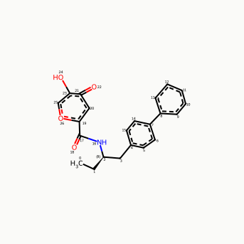 CC[C@H](Cc1ccc(-c2ccccc2)cc1)NC(=O)c1cc(=O)c(O)co1